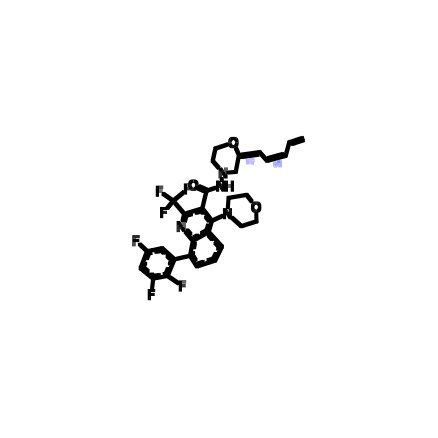 C=C/C=C\C=C1/CN(NC(=O)c2c(C(F)(F)F)nc3c(-c4cc(F)cc(F)c4F)cccc3c2N2CCOCC2)CCO1